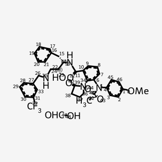 COc1ccc(N(c2cccc(C(=O)N[C@@H](Cc3ccccc3)[C@H](O)CNCc3cccc(C(F)(F)F)c3)c2N2CCCC2=O)S(C)(=O)=O)cc1.O=CO